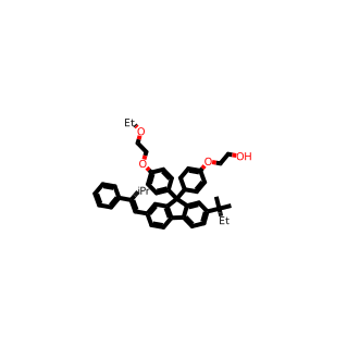 CCOCCOc1ccc(C2(C3C=CC(OCCO)=CC3)c3cc(C=C(c4ccccc4)C(C)C)ccc3-c3ccc(C(C)(C)CC)cc32)cc1